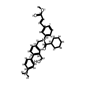 COC(=O)/C=C/c1cccc(N(Cc2ccc(-c3ccc(N(C)C)cc3)c(CO)c2)C(=O)C2CCCCC2)c1